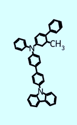 CC1CC(N(c2ccccc2)c2ccc(-c3ccc(-n4c5ccccc5c5ccccc54)cc3)cc2)=CC=C1c1cc#ccc1